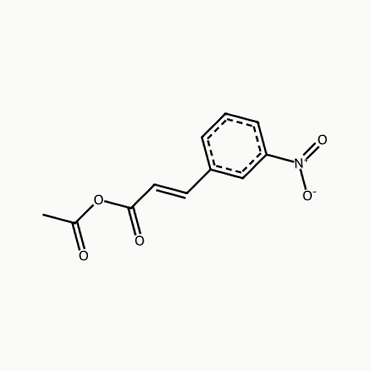 CC(=O)OC(=O)/C=C/c1cccc([N+](=O)[O-])c1